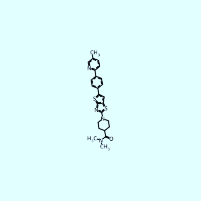 Cc1ccc(-c2ccc(-c3cc4sc(N5CCC(C(=O)N(C)C)CC5)nc4s3)cc2)nc1